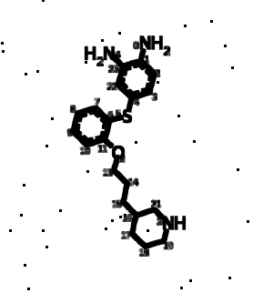 Nc1ccc(Sc2ccccc2OCCCC2CCCNC2)cc1N